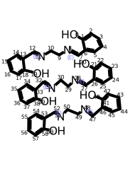 Oc1ccccc1/C=N/CC/N=C/c1ccccc1O.Oc1ccccc1/C=N/CC/N=C/c1ccccc1O.Oc1ccccc1/C=N/CC/N=C/c1ccccc1O